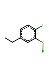 CCc1ccc(F)c(SF)c1